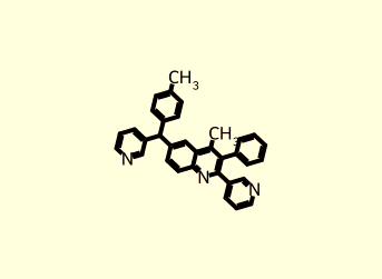 Cc1ccc(C(c2cccnc2)c2ccc3nc(-c4cccnc4)c(-c4ccccc4)c(C)c3c2)cc1